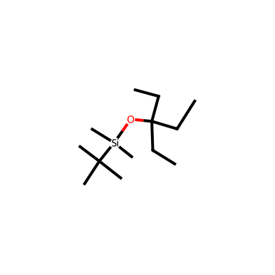 CCC(CC)(CC)O[Si](C)(C)C(C)(C)C